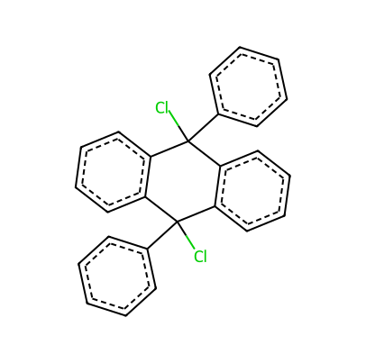 ClC1(c2ccccc2)c2ccccc2C(Cl)(c2ccccc2)c2ccccc21